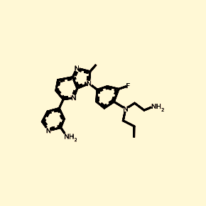 CCCN(CCN)c1ccc(-n2c(C)nc3ccc(-c4ccnc(N)c4)nc32)cc1F